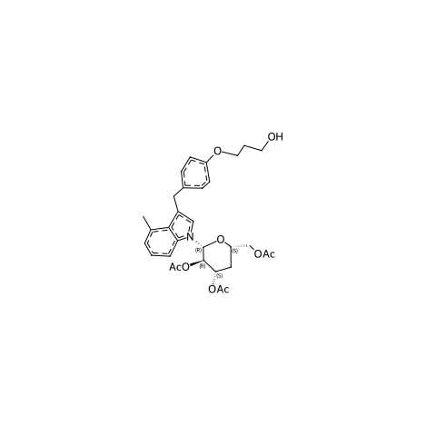 CC(=O)OC[C@@H]1C[C@H](OC(C)=O)[C@@H](OC(C)=O)[C@H](n2cc(Cc3ccc(OCCCO)cc3)c3c(C)cccc32)O1